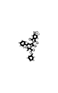 CC(O)C(C(=O)OCc1ccccc1)N1C(=O)C(N2C(=O)c3ccc([N+](=O)[O-])cc3C2=O)C1/C=C/c1ccccc1